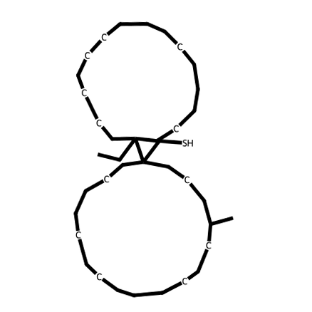 CCC1(C2(CS)CCCCCCCCCCCCCC(C)CCC2)CCCCCCCCCCCCCCC1